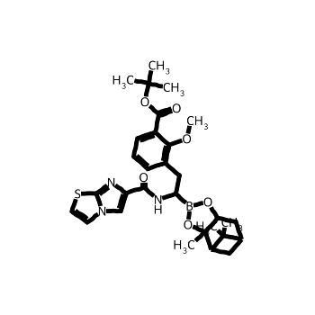 COc1c(CC(NC(=O)c2cn3ccsc3n2)B2OC3CC4CC(C4(C)C)C3(C)O2)cccc1C(=O)OC(C)(C)C